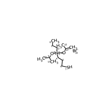 CCC[N+](CCCS)(OC(C)C)OC(C)C.[Br-]